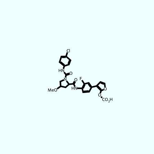 COC1CC(C(=O)Nc2ccc(-c3ccoc3OC(=O)O)cc2F)N(C(=O)Nc2ccc(Cl)cc2)C1